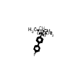 CO[Si](OC)(OC(C)C)c1ccc(-c2ccc(F)cc2)cc1